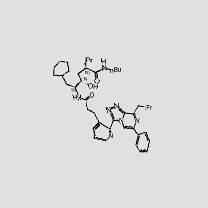 CCCCNC(=O)[C@@H](C[C@H](O)[C@H](CC1CCCCC1)NC(=O)CCc1cccnc1-c1nnc2c(CC(C)C)nc(-c3ccccc3)cn12)C(C)C